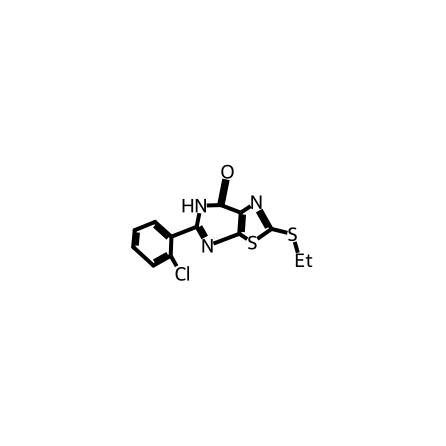 CCSc1nc2c(=O)[nH]c(-c3ccccc3Cl)nc2s1